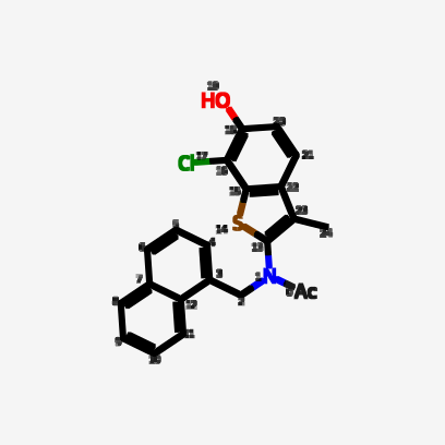 CC(=O)N(Cc1cccc2ccccc12)c1sc2c(Cl)c(O)ccc2c1C